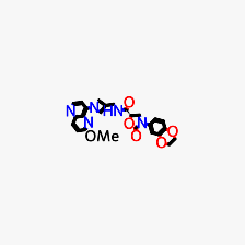 COc1ccc2nccc(N3CC(CNC(=O)[C@@H]4CN(c5ccc6c(c5)OCCO6)C(=O)O4)C3)c2n1